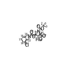 CC(C)(C)OC(=O)N1C[C@H](OC(=O)N2Cc3cccc(Cl)c3C2)C[C@@]1(C)C(=O)O